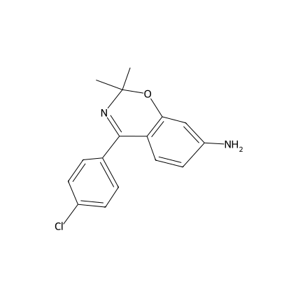 CC1(C)N=C(c2ccc(Cl)cc2)c2ccc(N)cc2O1